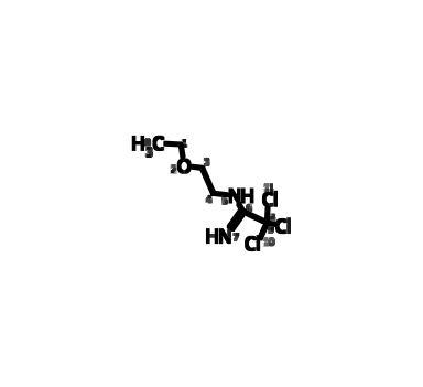 CCOCCNC(=N)C(Cl)(Cl)Cl